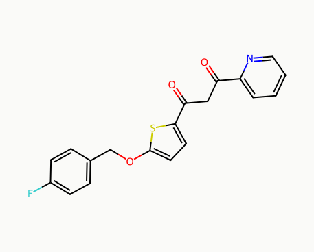 O=C(CC(=O)c1ccc(OCc2ccc(F)cc2)s1)c1ccccn1